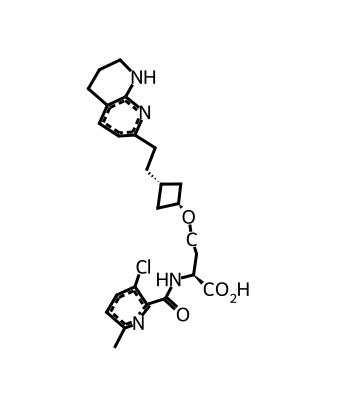 Cc1ccc(Cl)c(C(=O)N[C@@H](CCO[C@H]2C[C@@H](CCc3ccc4c(n3)NCCC4)C2)C(=O)O)n1